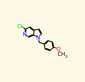 COc1ccc(Cn2ccc3cc(Cl)ncc32)cc1